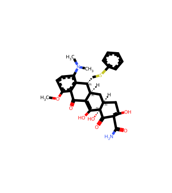 COc1ccc(N(C)C)c2c1C(=O)C1=C(O)[C@]3(O)C(=O)C(C(N)=O)=C(O)C[C@@H]3C[C@@H]1[C@H]2CSc1ccccc1